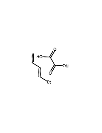 C=CC=CCC.O=C(O)C(=O)O